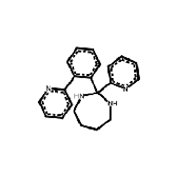 c1ccc(-c2ccccc2C2(c3ccccn3)NCCCCN2)nc1